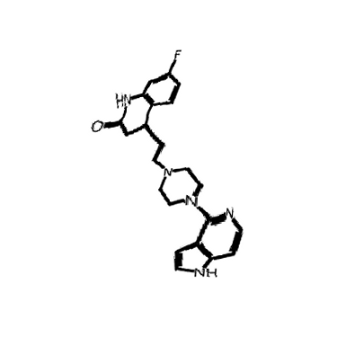 O=C1CC(CCN2CCN(c3nccc4[nH]ccc34)CC2)c2ccc(F)cc2N1